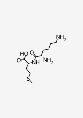 CSCC[C@H](NC(=O)[C@@H](N)CCCCN)C(=O)O